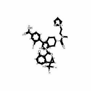 CN(CCn1cccn1)C(=O)[C@H]1CCc2c(-c3ccc(C(=O)O)cc3F)nn(C(=O)c3c(Cl)cccc3C3(C(F)(F)F)CC3)c2C1